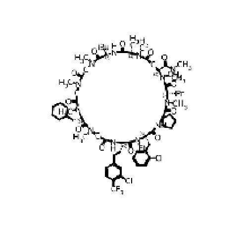 CC[C@H](C)[C@@H]1NC(=O)[C@H](C)N(C)C(=O)C[C@@H](C(=O)N(C)C)N(C)C(=O)[C@H](C(C)C)N(C)C(=O)C2(CCCC2)NC(=O)[C@H](Cc2ccccc2Cl)N(CC)C(=O)[C@H](CCc2ccc(C(F)(F)F)c(Cl)c2)NC(=O)CN(C)C(=O)[C@H](CC2CCCCC2)N(C)C(=O)CN(C)C(=O)CN(C)C1=O